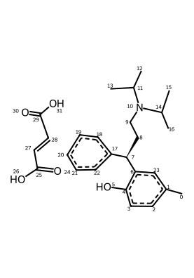 Cc1ccc(O)c([C@H](CCN(C(C)C)C(C)C)c2ccccc2)c1.O=C(O)/C=C/C(=O)O